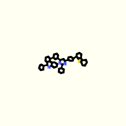 c1ccc(-c2nc(-c3ccc(-c4cccc5c4sc4ccccc45)cc3)cc(-c3cccc(-c4cccc5c(-c6ccccc6)nc6ccccc6c45)c3)n2)cc1